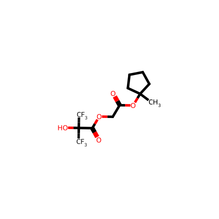 CC1(OC(=O)COC(=O)C(O)(C(F)(F)F)C(F)(F)F)CCCC1